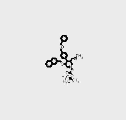 COCC1CN(OC(=O)OC(C)(C)C)CC(OCc2ccc3ccccc3c2)C1c1ccc(COCc2ccccc2)cc1